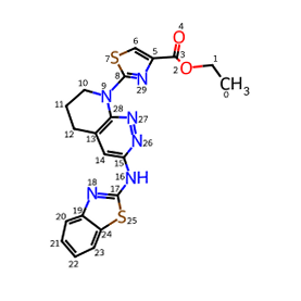 CCOC(=O)c1csc(N2CCCc3cc(Nc4nc5ccccc5s4)nnc32)n1